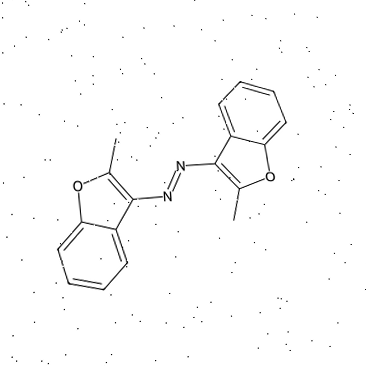 Cc1oc2ccccc2c1/N=N/c1c(C)oc2ccccc12